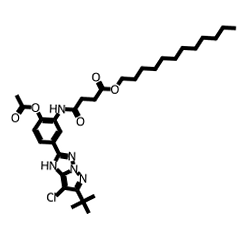 CCCCCCCCCCCCOC(=O)CCC(=O)Nc1cc(-c2nn3nc(C(C)(C)C)c(Cl)c3[nH]2)ccc1OC(C)=O